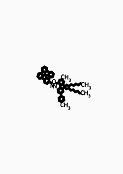 CCCCCCCCC1(CCCCCCCC)c2cc(-c3ccc(C)cc3)ccc2-c2c(-c3nnc(-c4ccc5c(c4)C4(c6ccccc6-c6ccccc64)c4ccccc4-5)o3)cc(C)cc21